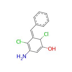 NC1=C(Cl)C(=Cc2ccccc2)C(Cl)C(O)=C1